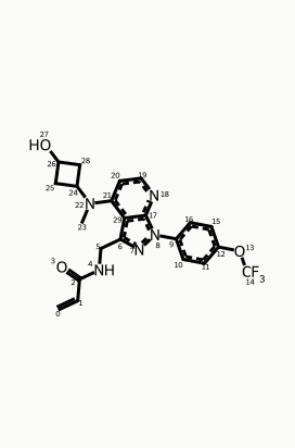 C=CC(=O)NCc1nn(-c2ccc(OC(F)(F)F)cc2)c2nccc(N(C)C3CC(O)C3)c12